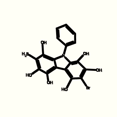 Bc1c(O)c(O)c2c3c(O)c(Br)c(O)c(O)c3n(-c3ccccc3)c2c1O